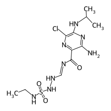 CCNS(=O)(=O)NNC=NC(=O)c1nc(Cl)c(NC(C)C)nc1N